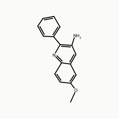 COc1ccc2nc(-c3ccccc3)c(N)cc2c1